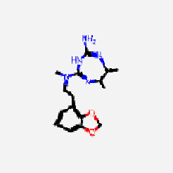 CC1N=C(N)NC(N(C)CCc2cccc3c2OCO3)=NC1C